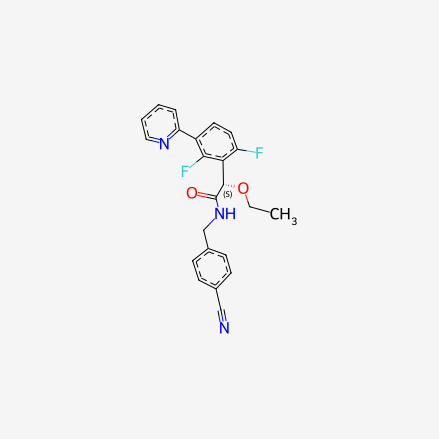 CCO[C@H](C(=O)NCc1ccc(C#N)cc1)c1c(F)ccc(-c2ccccn2)c1F